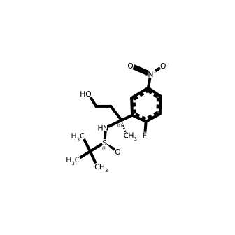 CC(C)(C)[S@+]([O-])N[C@@](C)(CCO)c1cc([N+](=O)[O-])ccc1F